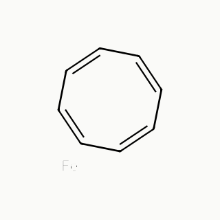 C1=CC=CC=CC=C1.[Fe]